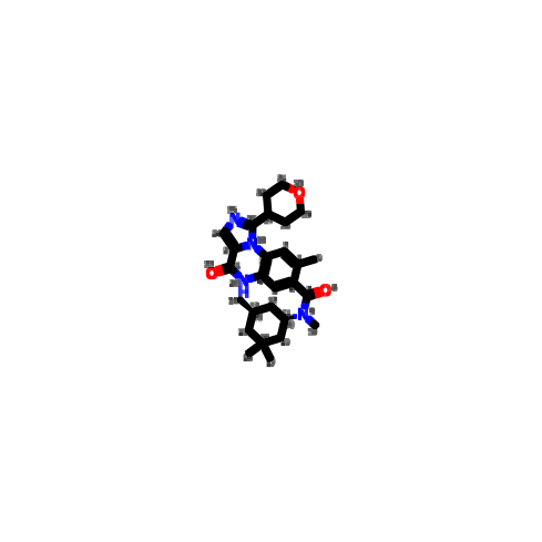 Cc1cc2c(cc1C(=O)N(C)[C@H]1C[C@H](C)CC(C)(C)C1)[nH]c(=O)c1cnc(C3CCOCC3)n12